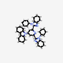 c1ccc(-n2c(-c3cc(-n4c5ccccc5c5ccccc54)cc(-c4nc5ccccc5n4-c4ccccc4)n3)nc3ccccc32)cc1